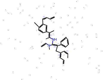 C=C/C=C\c1cc(/C(C)=C(\C)N/C(=C(/CC(/C=C\C)=C/C=C)c2ccccc2)N(C)C=C)ccc1C